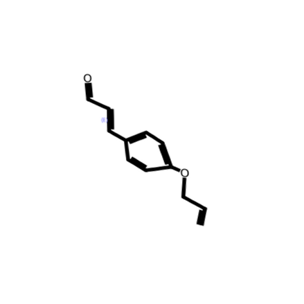 C=CCOc1ccc(/C=C/C=O)cc1